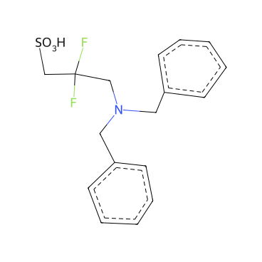 O=S(=O)(O)CC(F)(F)CN(Cc1ccccc1)Cc1ccccc1